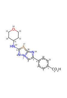 O=C(O)c1ccc(-c2cn3nc(NC4CCOCC4)sc3n2)cc1